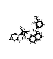 C[C@@H]1CN(C)CCN1c1c(Nc2ccc3ncnc(Nc4cccc(Cl)c4F)c3c2)c(=O)c1=O